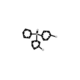 O=P(c1ccccc1)(c1ccc(Cl)cc1)c1cccc(Cl)c1